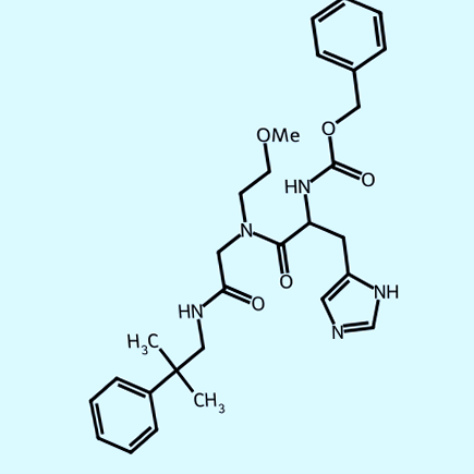 COCCN(CC(=O)NCC(C)(C)c1ccccc1)C(=O)C(Cc1cnc[nH]1)NC(=O)OCc1ccccc1